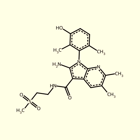 Cc1cc2c(C(=O)NCCS(C)(=O)=O)c(N)n(-c3c(C)ccc(O)c3C)c2nc1C